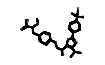 COC(Cc1ccc(OCC(C)c2sc(-c3ccc(C(F)(F)F)cc3)nc2C(C)C)cc1)C(=O)O